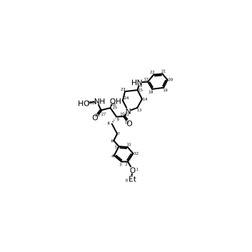 CCOc1ccc(CCC[C@@H](C(=O)N2CCC(Nc3ccccc3)CC2)[C@H](O)C(=O)NO)cc1